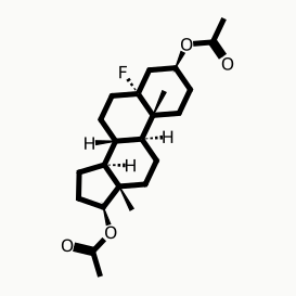 CC(=O)O[C@H]1CC[C@]2(C)[C@H]3CC[C@]4(C)[C@@H](OC(C)=O)CC[C@H]4[C@@H]3CC[C@@]2(F)C1